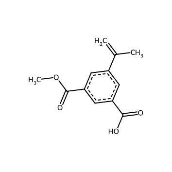 C=C(C)c1cc(C(=O)O)cc(C(=O)OC)c1